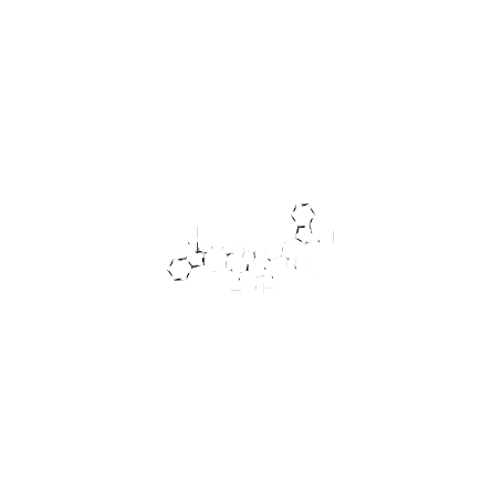 C[C@H](NC(=O)[C@H](N)Cc1c[nH]c2ccccc12)C(=O)N[C@@H](Cc1c[nH]c2ccccc12)C(=O)O